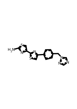 Nc1nc(-c2nc(-c3ccc(Cn4cncn4)cc3)cs2)cs1